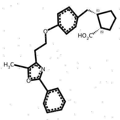 Cc1oc(-c2ccccc2)nc1CCOc1ccc(C[C@@H]2CCC[C@@H]2C(=O)O)cc1